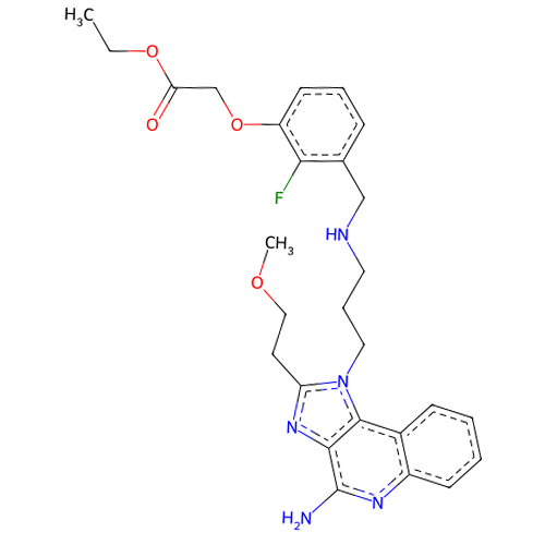 CCOC(=O)COc1cccc(CNCCCn2c(CCOC)nc3c(N)nc4ccccc4c32)c1F